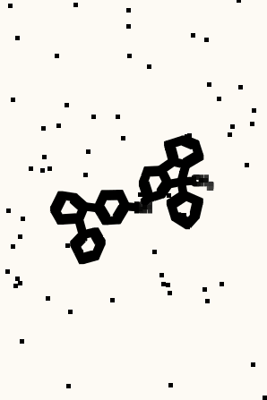 CC1(c2ccccc2)c2ccccc2-c2ccc(Nc3ccc(-c4ccccc4-c4ccccc4)cc3)cc21